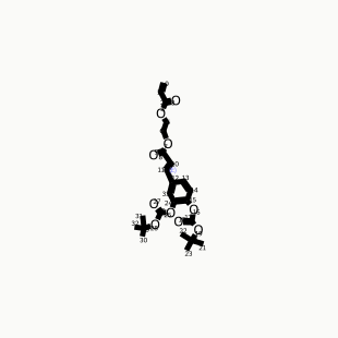 C=CC(=O)OCCOC(=O)/C=C/c1ccc(OC(=O)OC(C)(C)C)c(OC(=O)OC(C)(C)C)c1